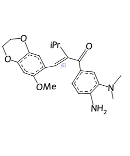 COc1cc2c(cc1/C=C(/C(=O)c1ccc(N)c(N(C)C)c1)C(C)C)OCCO2